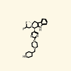 C[C@@H]1Cc2c([nH]c3ccccc23)[C@@H](c2cnc(N3CCN(CC4CCNCC4)CC3)nc2)N1CC(F)F